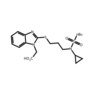 CCCCS(=O)(=O)N(CCCSc1nc2ccccc2n1CC(=O)O)C1CC1